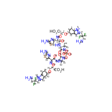 C[n+]1c2ccc(OC[C@H](O/N=C(\C(=O)N[C@@H]3C(=O)N(OS(=O)(=O)ON4C(=O)[C@@H](NC(=O)/C(=N\O[C@@H](COc5ccc6c(c5)cn(CC(F)(F)CN)[n+]6C)C(=O)O)c5csc(N)n5)C4(C)C)C3(C)C)c3csc(N)n3)C(=O)O)cc2cn1CC(F)(F)CN